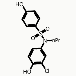 CCCN(c1ccc(O)c(Cl)c1)S(=O)(=O)c1ccc(O)cc1